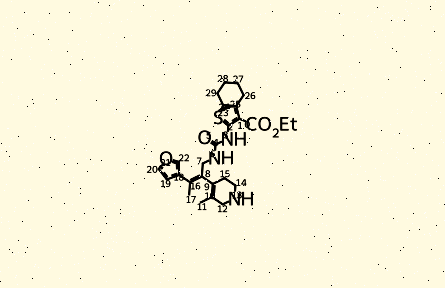 CCOC(=O)c1c(NC(=O)NC/C(C2=C(C)CNCC2)=C(/C)c2ccoc2)sc2c1CCCC2